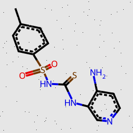 Cc1ccc(S(=O)(=O)NC(=S)Nc2cnccc2N)cc1